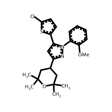 COc1ccccc1-n1nc(C2CC(C)(C)OC(C)(C)C2)cc1-c1ccc(Cl)s1